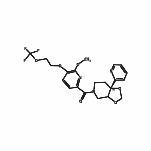 COc1nc(C(=O)N2CC[C@]3(c4ccccn4)OCOC3C2)ccc1OCCOC(F)(F)F